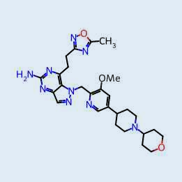 COc1cc(C2CCN(C3CCOCC3)CC2)cnc1Cn1ncc2nc(N)nc(CCc3noc(C)n3)c21